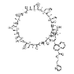 CC[C@@H]1NC(=O)[C@H]([C@H](O)[C@H](C)CC=Cc2ccc(C(=O)OCCn3cccn3)c3ccccc23)N(C)C(=O)[C@H](C(C)C)N(C)C(=O)[C@H](CC(C)C)N(C)C(=O)[C@H](CC(C)C)N(C)C(=O)[C@@H](C)NC(=O)[C@H](C)NC(=O)[C@H](CC(C)C)N(C)C(=O)[C@H](C(C)C)NC(=O)[C@H](CC(C)C)N(C)C(=O)CN(C)C1=O